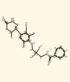 Cc1cc(C2=NNC(=O)CC2C)c(F)c(C)c1OCC(F)(F)COC(=O)c1ccccc1